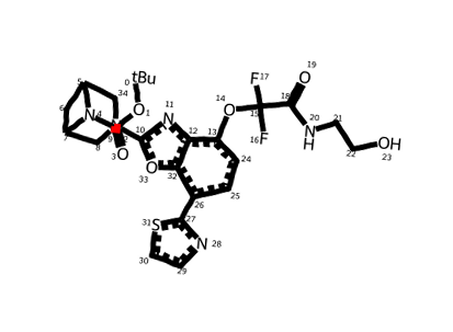 CC(C)(C)OC(=O)N1C2CC1CN(c1nc3c(OC(F)(F)C(=O)NCCO)ccc(-c4nccs4)c3o1)C2